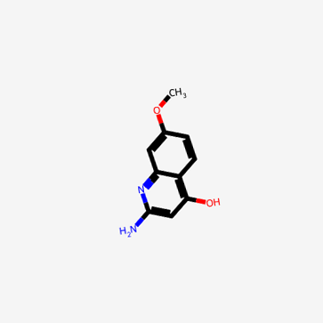 COc1ccc2c(O)cc(N)nc2c1